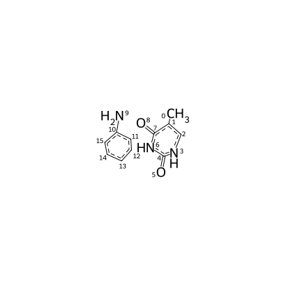 Cc1c[nH]c(=O)[nH]c1=O.Nc1ccccc1